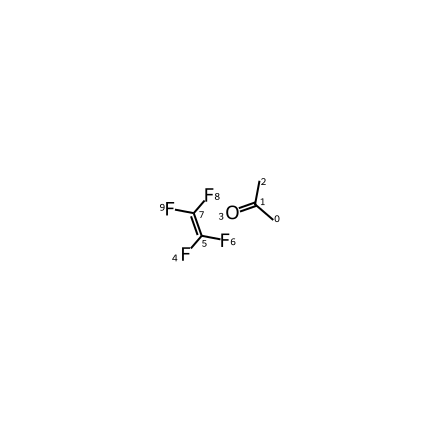 CC(C)=O.FC(F)=C(F)F